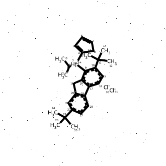 C[C](C)=[Hf+2]([C]1=CC=CC1)[c]1c(C(C)(C)C)ccc2c1Cc1cc(C(C)(C)C)ccc1-2.[Cl-].[Cl-]